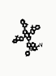 CC1(C)c2ccccc2-c2ccc(-c3c4ccc(-c5ccc6c7c5ccc5c(C#N)ccc(c57)n6-c5ccccc5)cc4c(-c4ccc5c(c4)C(C)(C)c4ccccc4-5)c4ccc(-c5ccc6ccccc6c5)cc34)cc21